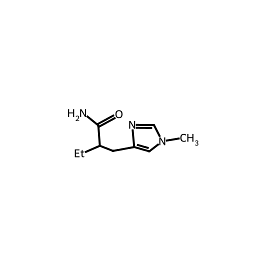 CCC(Cc1cn(C)cn1)C(N)=O